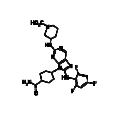 NC(=O)C1CCC(n2c(Nc3c(F)cc(F)cc3F)nc3cnc(NC4CCCN(C(=O)O)C4)nc32)CC1